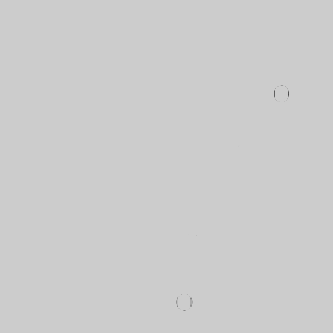 CC1C=CC(C)C2C(=O)CC(=O)C12